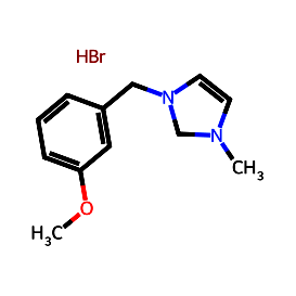 Br.COc1cccc(CN2C=CN(C)C2)c1